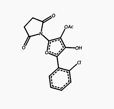 CC(=O)Oc1c(N2C(=O)CCC2=O)oc(-c2ccccc2Cl)c1O